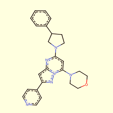 c1ccc(C2CCN(c3cc(N4CCOCC4)n4nc(-c5ccncc5)cc4n3)C2)cc1